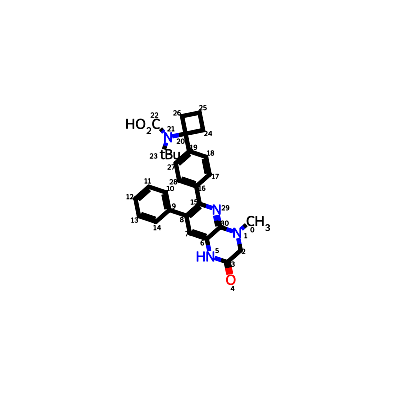 CN1CC(=O)Nc2cc(-c3ccccc3)c(-c3ccc(C4(N(C(=O)O)C(C)(C)C)CCC4)cc3)nc21